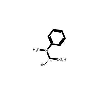 CC(C)[C@@H](C(=O)O)N(C)c1ccccc1